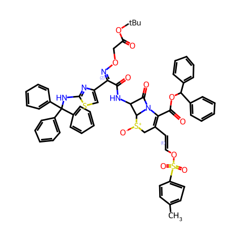 Cc1ccc(S(=O)(=O)O/C=C/C2=C(C(=O)OC(c3ccccc3)c3ccccc3)N3C(=O)C(NC(=O)/C(=N\OCC(=O)OC(C)(C)C)c4csc(NC(c5ccccc5)(c5ccccc5)c5ccccc5)n4)C3[S+]([O-])C2)cc1